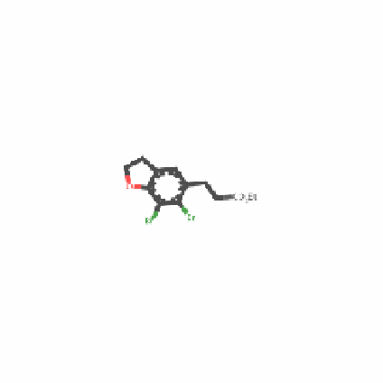 CCOC(=O)CCc1cc2c(c(Br)c1Br)OCC2